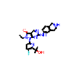 CCn1c(=O)c2cnc(Nc3ccc4c(c3)CCNC4)nc2n1-c1ccc(F)c(C(C)(C)O)n1